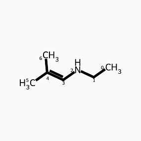 CCNC=C(C)C